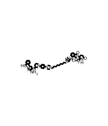 CN(c1cn(CCCCCCCCCN2CCN(c3ccc(N4CCCC(Oc5cc(-c6ccccc6O)nnc5N)C4)cc3)CC2)nn1)c1cccc2c1C(=O)N(C1CCC(=O)NC1=O)C2=O